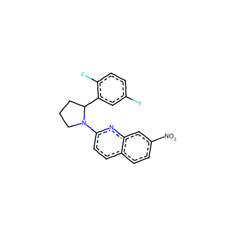 O=[N+]([O-])c1ccc2ccc(N3CCCC3c3cc(F)ccc3F)nc2c1